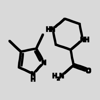 Cc1c[nH]nc1C.NC(=O)C1CNCCN1